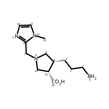 BCCC[C@H]1CN(Cc2nccn2C)C[C@H]1C(=O)O